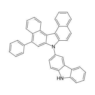 c1ccc(-c2cc3c(c4ccccc24)c2c4ccccc4ccc2n3-c2ccc3[nH]c4ccccc4c3c2)cc1